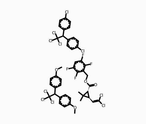 CC1(C)[C@H](C=C(Cl)Cl)[C@H]1C(=O)OCc1c(F)c(F)cc(F)c1F.COc1ccc(C(c2ccc(OC)cc2)C(Cl)(Cl)Cl)cc1.Clc1ccc(C(c2ccc(Cl)cc2)C(Cl)(Cl)Cl)cc1